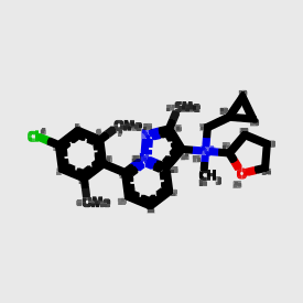 COc1cc(Cl)cc(OC)c1-c1cccc2c([N+](C)(CC3CC3)C3CCCO3)c(SC)nn12